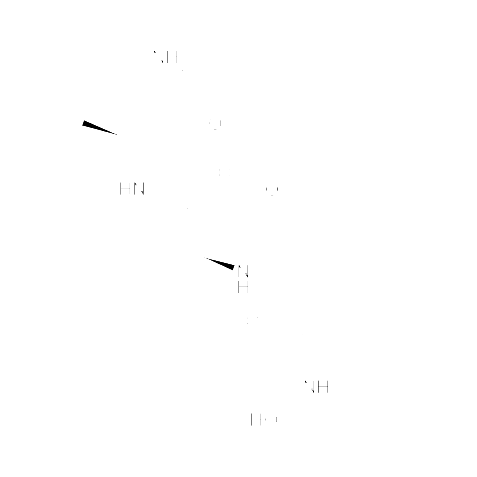 CC(C)CC(CC(=O)NO)C(=O)N[C@H](C(=O)N[C@@H](C)C(N)=O)C(C)C